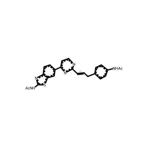 CC(=O)Nc1ccc(C/C=C/c2nccc(-c3ccc4nc(NC(C)=O)sc4c3)n2)cc1